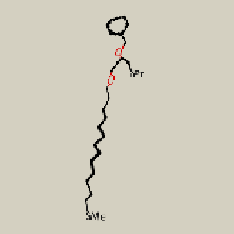 CSCCCCCCCCCCCCCOCC(CC(C)C)OCc1ccccc1